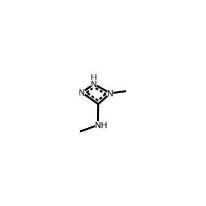 CNc1n[nH]n1C